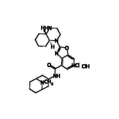 CN1C2CCCC1CC(NC(=O)c1cccc3oc(N4CCN[C@H]5CCCC[C@@H]54)nc13)C2.Cl.Cl